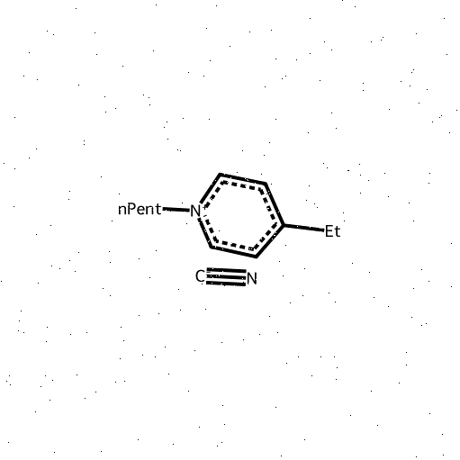 CCCCC[n+]1ccc(CC)cc1.[C-]#N